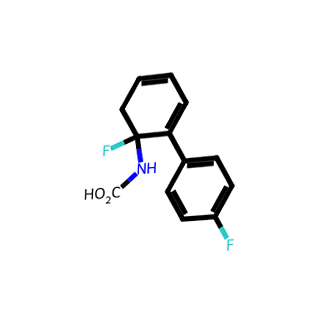 O=C(O)NC1(F)CC=CC=C1c1ccc(F)cc1